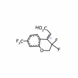 O=C(O)/C=C1\c2ccc(C(F)(F)F)cc2OCC1(F)F